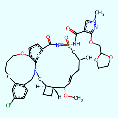 CO[C@H]1/C=C/C[C@H](C)C[S@@](=O)(NC(=O)c2cn(C)nc2OCC2OCCO2)=NC(=O)c2ccc3c(c2)N(Cc2ccc(Cl)cc2CCCCO3)C[C@@H]2CC[C@H]21